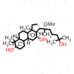 CO[C@@](C)(CCCC(C)(C)O)[C@H]1CC[C@]2(C)[C@@H]1[C@H](O)C[C@@H]1[C@@]3(C)CC[C@H](O)C(C)(C)[C@@H]3CC[C@]12C